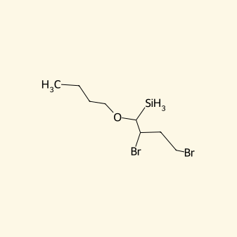 CCCCOC([SiH3])C(Br)CCBr